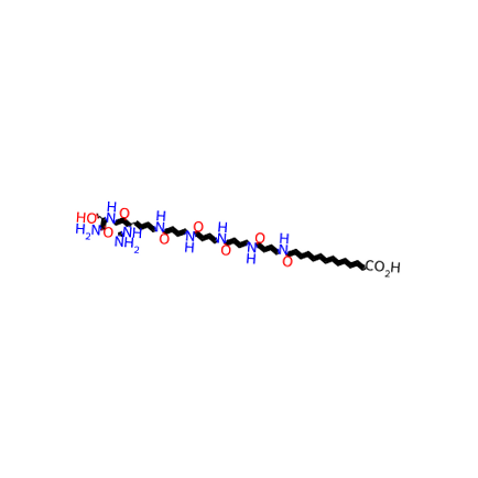 NCN[C@@H](CCCCNC(=O)CCCNC(=O)CCCNC(=O)CCCNC(=O)CCCNC(=O)CCCCCCCCCCCCC(=O)O)C(=O)CN[C@@H](CO)C(N)=O